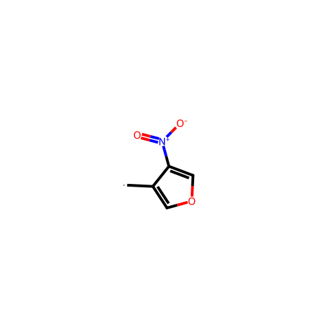 [CH2]c1cocc1[N+](=O)[O-]